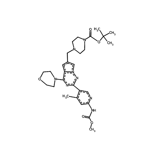 COC(=O)Nc1cc(C)c(-c2nc(N3CCOCC3)c3cc(CN4CCN(C(=O)OC(C)(C)C)CC4)cn3n2)cn1